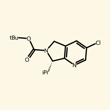 CC(C)[C@H]1c2ncc(Cl)cc2CN1C(=O)OC(C)(C)C